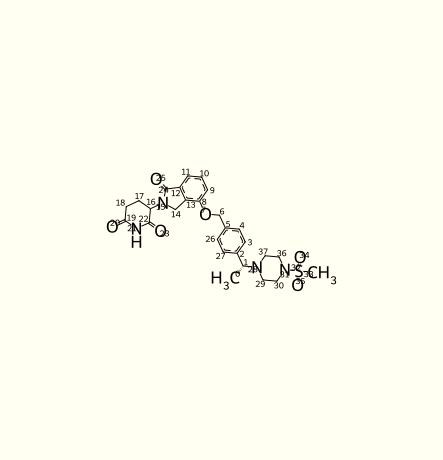 C[C@H](c1ccc(COc2cccc3c2CN(C2CCC(=O)NC2=O)C3=O)cc1)N1CCN(S(C)(=O)=O)CC1